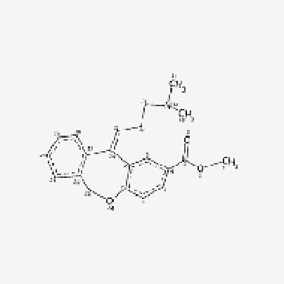 COC(=O)c1ccc2c(c1)C(=CCCN(C)C)c1ccccc1CO2